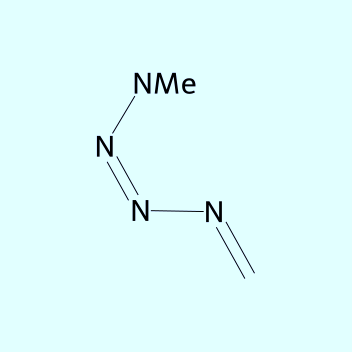 C=N/N=N\NC